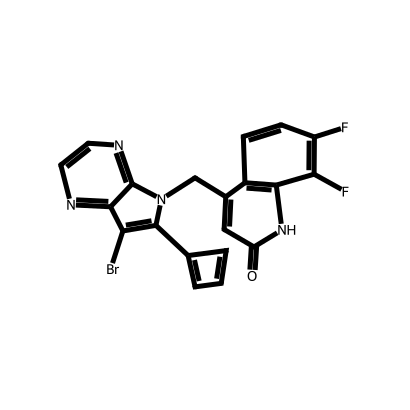 O=c1cc(Cn2c(C3=CC=C3)c(Br)c3nccnc32)c2ccc(F)c(F)c2[nH]1